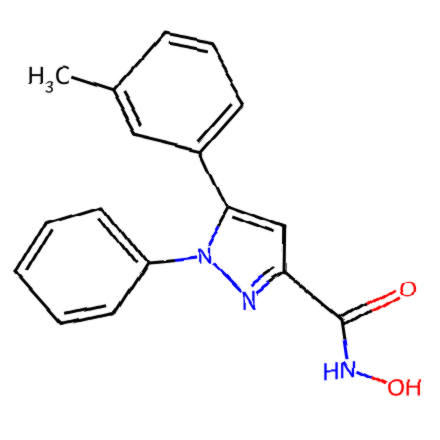 Cc1cccc(-c2cc(C(=O)NO)nn2-c2ccccc2)c1